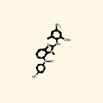 Bc1cc(C)c(Nc2nc3cccc(N(c4ccc(C#N)cc4)C(C)C)c3n2C)c(OC)c1